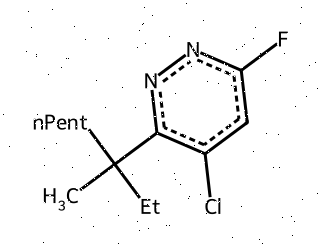 CCCCCC(C)(CC)c1nnc(F)cc1Cl